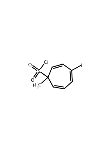 CC1(S(=O)(=O)Cl)C=CC=C(I)C=C1